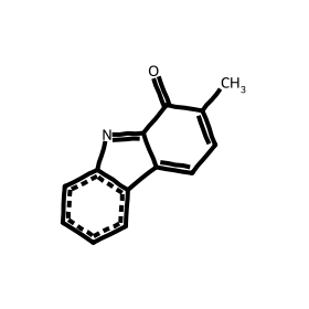 CC1=CC=C2C(=Nc3ccccc32)C1=O